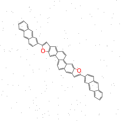 c1ccc2cc3cc(-c4cc5cc6ccc7c8cc9oc(-c%10ccc%11cc%12ccccc%12cc%11c%10)cc9cc8ccc7c6cc5o4)ccc3cc2c1